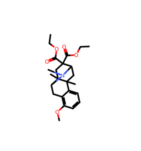 CCOC(=O)C1(C(=O)OCC)CC2(C)C3Cc4c(OC)cccc4C2(C)CC1N3C